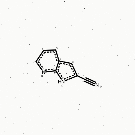 N#Cc1cc2cccnc2[nH]1